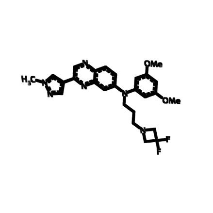 COc1cc(OC)cc(N(CCCN2CC(F)(F)C2)c2ccc3ncc(-c4cnn(C)c4)nc3c2)c1